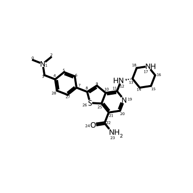 CN(C)Cc1ccc(-c2cc3c(N[C@H]4CCCNC4)ncc(C(N)=O)c3s2)cc1